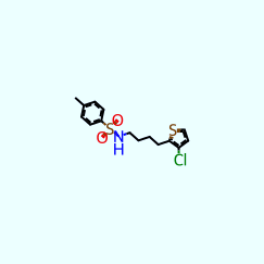 Cc1ccc(S(=O)(=O)NCCCCc2sccc2Cl)cc1